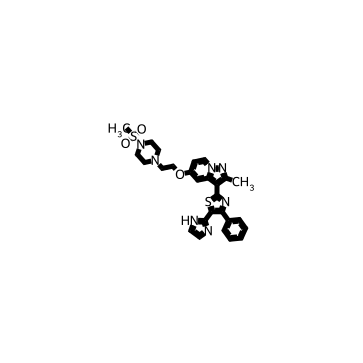 Cc1nn2ccc(OCCN3CCN(S(C)(=O)=O)CC3)cc2c1-c1nc(-c2ccccc2)c(-c2ncc[nH]2)s1